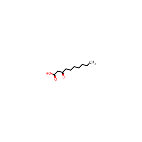 CCCCCCCC(=O)CC(=O)O